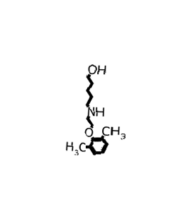 Cc1cccc(C)c1OCCNCCCCCO